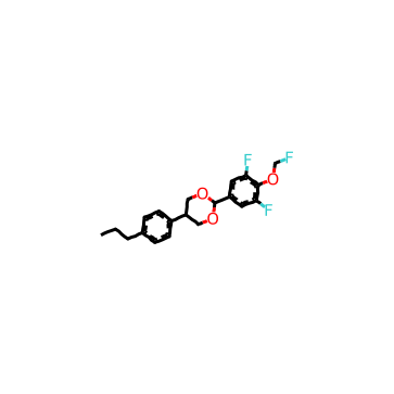 CCCc1ccc(C2COC(c3cc(F)c(OCF)c(F)c3)OC2)cc1